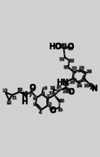 CC1C2=C(C=CC1C(=O)NCC1CC1)OCC[C@]21C[C@H]1C(=O)Nc1cc(C#N)ccc1CCCC(=O)O